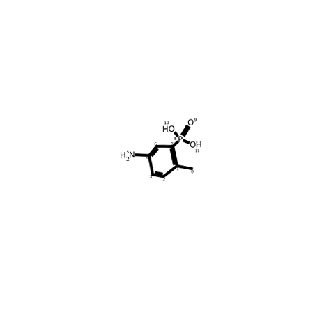 Cc1ccc(N)cc1P(=O)(O)O